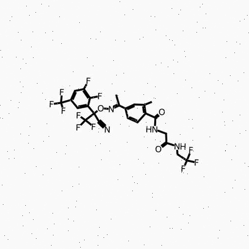 C/C(=N\OC(C#N)(c1cc(C(F)(F)F)cc(F)c1F)C(F)(F)F)c1ccc(C(=O)NCC(=O)NCC(F)(F)F)c(C)c1